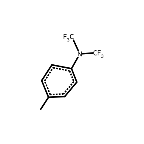 Cc1ccc(N(C(F)(F)F)C(F)(F)F)cc1